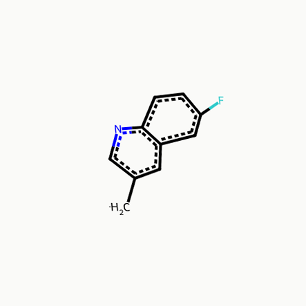 [CH2]c1cnc2ccc(F)cc2c1